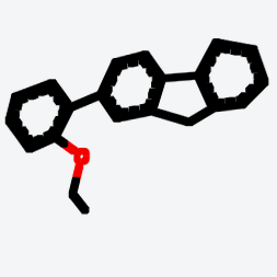 CCOc1ccccc1-c1ccc2c(c1)Cc1ccccc1-2